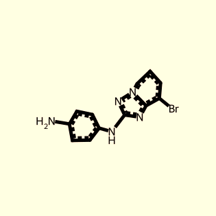 Nc1ccc(Nc2nc3c(Br)cccn3n2)cc1